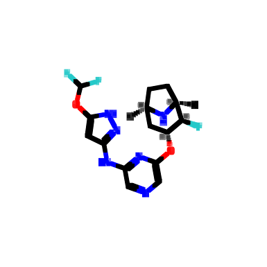 FC(F)Oc1cc(Nc2cncc(O[C@@H]3C[C@H]4CC[C@H](N4)[C@H]3F)n2)n[nH]1